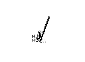 CCCCCCCCCCCCCCCCC(CCO)C(N)(CCO)CCO